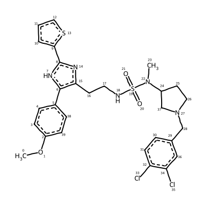 COc1ccc(-c2[nH]c(-c3cccs3)nc2CCNS(=O)(=O)N(C)C2CCN(Cc3ccc(Cl)c(Cl)c3)C2)cc1